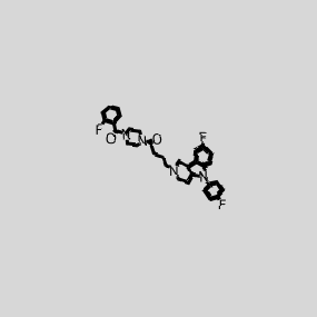 O=C(CCCN1CCC2C(C1)c1cc(F)ccc1N2c1ccc(F)cc1)N1CCN(C(=O)c2ccccc2F)CC1